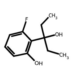 CCC(O)(CC)c1c(O)cccc1F